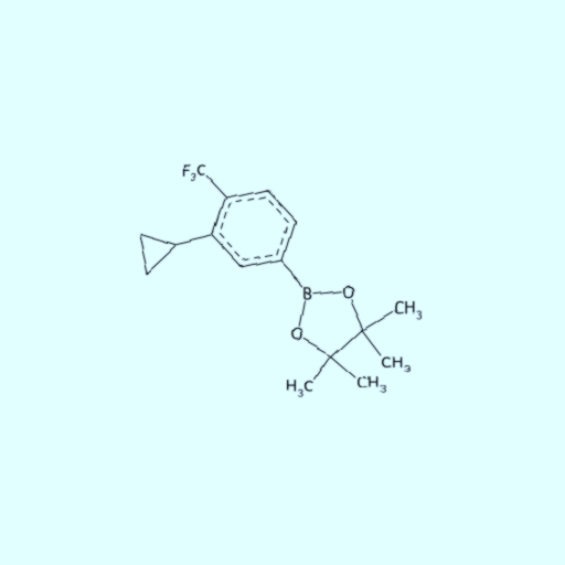 CC1(C)OB(c2ccc(C(F)(F)F)c(C3CC3)c2)OC1(C)C